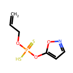 C=CCOP(=S)(S)Oc1ccno1